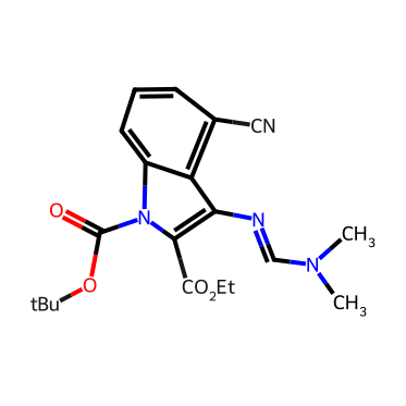 CCOC(=O)c1c(N=CN(C)C)c2c(C#N)cccc2n1C(=O)OC(C)(C)C